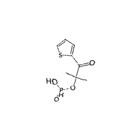 CC(C)(O[PH](=O)O)C(=O)c1cccs1